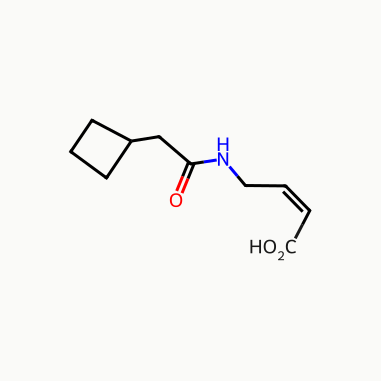 O=C(O)/C=C\CNC(=O)CC1CCC1